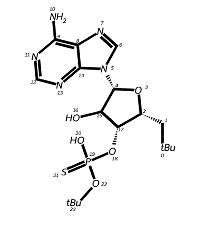 CC(C)(C)C[C@H]1O[C@@H](n2cnc3c(N)ncnc32)C(O)[C@H]1OP(O)(=S)OC(C)(C)C